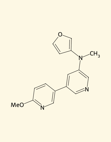 COc1ccc(-c2cncc(N(C)c3ccoc3)c2)cn1